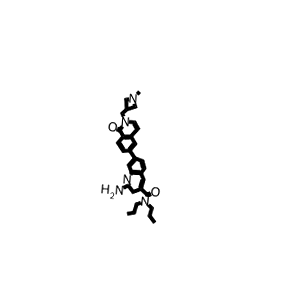 CCCN(CCC)C(=O)C1=Cc2ccc(-c3ccc4c(=O)n(CC5CN(C)C5)ccc4c3)cc2N=C(N)C1